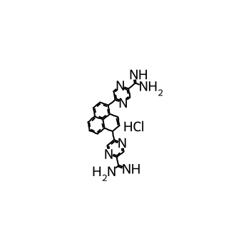 Cl.N=C(N)c1cnc(-c2ccc3cccc4c3c2C=CC4c2cnc(C(=N)N)cn2)cn1